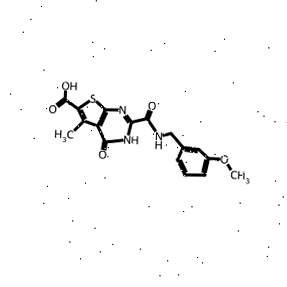 COc1cccc(CNC(=O)c2nc3sc(C(=O)O)c(C)c3c(=O)[nH]2)c1